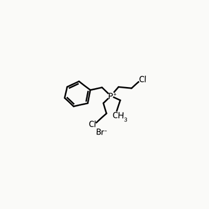 CC[P+](CCCl)(CCCl)Cc1ccccc1.[Br-]